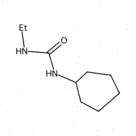 CCNC(=O)NC1CCCCC1